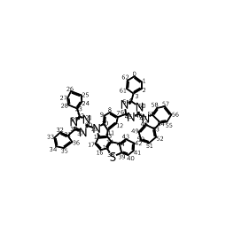 c1ccc(-c2nc(-c3ccc4c(c3)c3c5c(ccc3n4-c3nc(-c4ccccc4)nc(-c4ccccc4)n3)sc3ccccc35)nc(-n3c4ccccc4c4ccccc43)n2)cc1